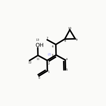 C=C/C(=C(\C=C)C(C)C1CC1)C(C)O